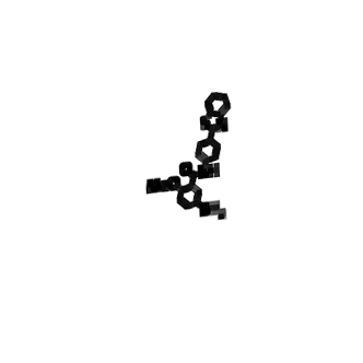 Bc1ccc(OC)c(C(=O)Nc2ccc(-c3nc4ccccc4s3)cc2)c1